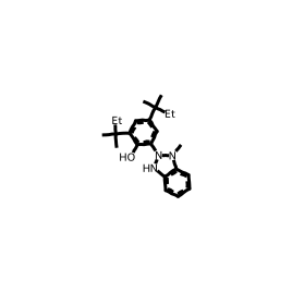 CCC(C)(C)c1cc(N2Nc3ccccc3N2C)c(O)c(C(C)(C)CC)c1